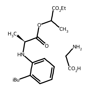 CCOC(=O)C(C)OC(=O)[C@H](C)Nc1ccccc1C(C)CC.NCC(=O)O